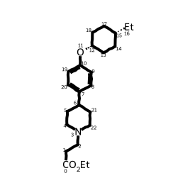 CCOC(=O)CCN1CCC(c2ccc(O[C@H]3CC[C@@H](CC)CC3)cc2)CC1